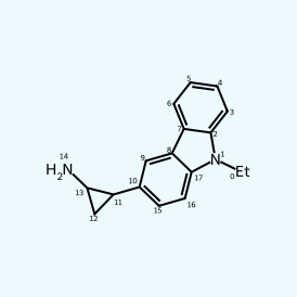 CCn1c2ccccc2c2cc(C3CC3N)ccc21